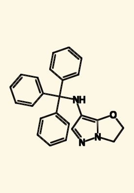 c1ccc(C(Nc2cnn3c2OCC3)(c2ccccc2)c2ccccc2)cc1